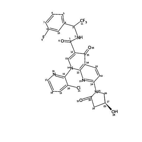 O=C(NC(c1cccc(F)c1)C(F)(F)F)c1cn(-c2ncccc2Cl)c2nc(N3C[C@@H](O)CC3=O)ccc2c1=O